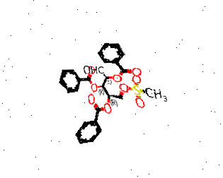 CS(=O)(=O)OC[C@@H](OC(=O)c1ccccc1)[C@@H](OC(=O)c1ccccc1)[C@@H](C=O)OC(=O)c1ccccc1